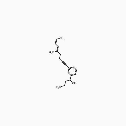 C/C=C\C=C(/C)CCC#Cc1cccc(C(O)CCN)c1